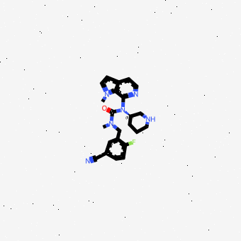 CN(Cc1cc(C#N)ccc1F)C(=O)N(c1nccc2ccn(C)c12)[C@@H]1CCCNC1